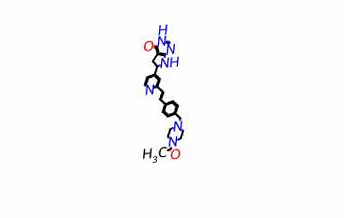 CC(=O)N1CCN(Cc2ccc(/C=C/c3cc(C4Cc5c(nc[nH]c5=O)N4)ccn3)cc2)CC1